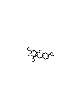 COc1ccc(Cn2c(Cl)cc(=O)n(C)c2=O)cc1